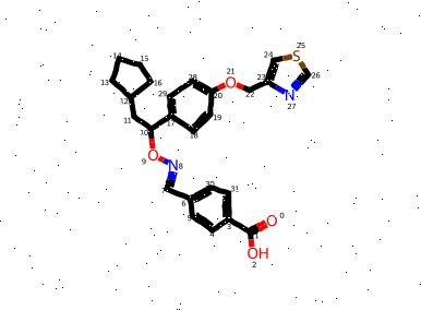 O=C(O)c1ccc(C=NOC(CC2CCCC2)c2ccc(OCc3cscn3)cc2)cc1